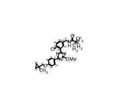 COc1nc(-c2ccc(OCC3(C)CC3)cc2)nc(-c2cc(CNC(=O)C(C)(C)C(F)(F)F)ccc2Cl)n1